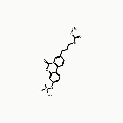 CC(C)(C)OC(=O)NCCCc1ccc2c(c1)c(=O)oc1cc(O[Si](C)(C)C(C)(C)C)ccc12